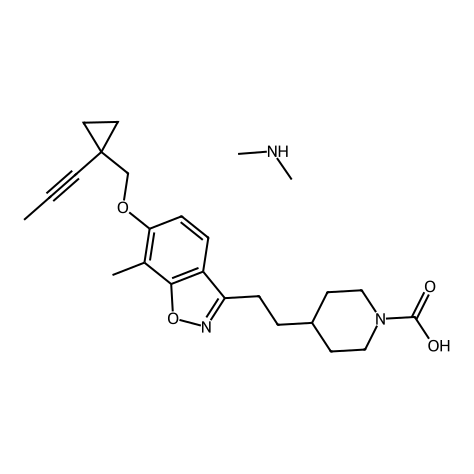 CC#CC1(COc2ccc3c(CCC4CCN(C(=O)O)CC4)noc3c2C)CC1.CNC